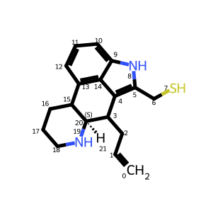 C=CCC1c2c(CS)[nH]c3cccc(c23)C2CCCN[C@@H]21